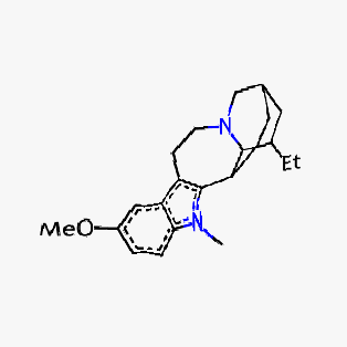 CCC1CC2CC3c4c(c5cc(OC)ccc5n4C)CCN(C2)C13